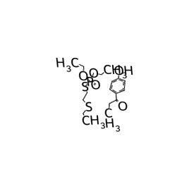 CCC(=O)c1ccc(O)cc1.CCOP(=O)(OCC)SCCSCC